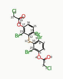 O=C(CCl)Oc1ccc(Br)c(Sc2c(Br)ccc(OC(=O)CCl)c2Br)c1Br